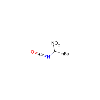 CCCCC(N=C=O)[N+](=O)[O-]